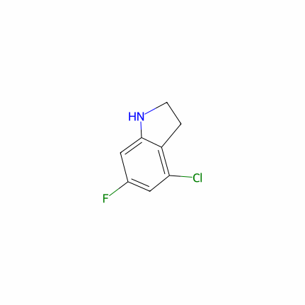 Fc1cc(Cl)c2c(c1)NCC2